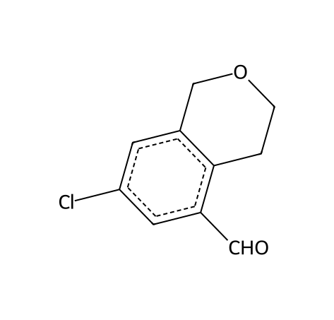 O=Cc1cc(Cl)cc2c1CCOC2